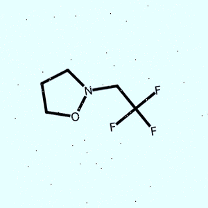 FC(F)(F)CN1CCCO1